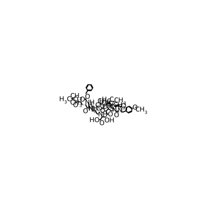 COc1ccc(Cn2c(=O)ccn([C@@H]3O[C@H](C(O)[C@H](NCCCNC(=O)[C@H](CCC(=O)OC(C)(C)C)NC(=O)OCc4ccccc4)C(=O)O)[C@@H](O[Si](C)(C)C(C)(C)C)[C@H]3O[Si](C)(C)C(C)(C)C)c2=O)cc1